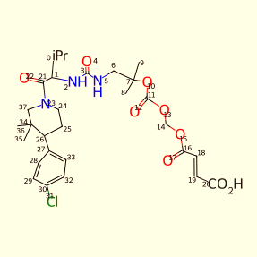 CC(C)C(NC(=O)NCC(C)(C)OC(=O)OCOC(=O)/C=C/C(=O)O)C(=O)N1CCC(c2ccc(Cl)cc2)C(C)(C)C1